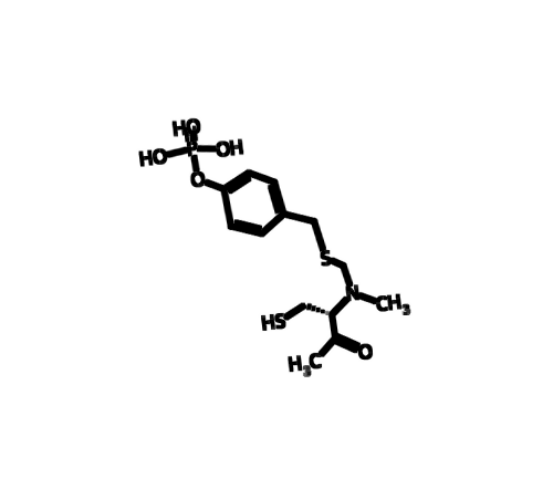 CC(=O)[C@H](CS)N(C)CSCc1ccc(O[PH](O)(O)O)cc1